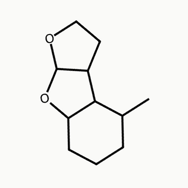 CC1CCCC2OC3OCCC3C12